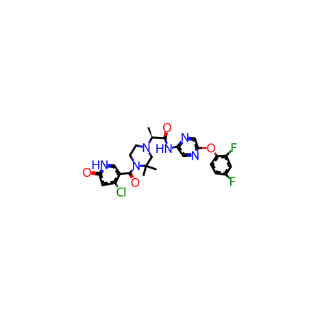 C[C@@H](C(=O)Nc1cnc(Oc2ccc(F)cc2F)cn1)N1CCN(C(=O)c2c[nH]c(=O)cc2Cl)C(C)(C)C1